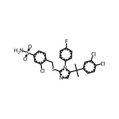 CC(C)(c1ccc(Cl)c(Cl)c1)c1cnc(SCc2ccc(S(N)(=O)=O)cc2Cl)n1-c1ccc(F)cc1